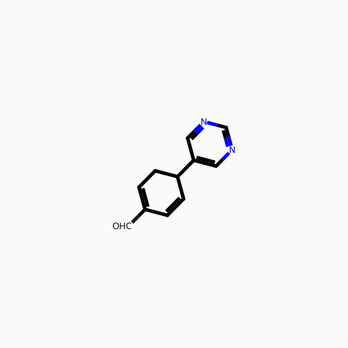 O=CC1=CCC(c2cncnc2)C=C1